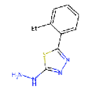 CCc1ccccc1-c1nnc(NN)s1